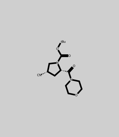 [C-]#[N+][C@H]1C[C@@H](C(=O)N2CCOCC2)N(C(=O)OC(C)(C)C)C1